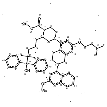 CCCCOc1cc(N2CCc3c(nc(OCCN(C)C)nc3N3CCN(C(=O)OC(C)(C)C)C(CCCC(C)(C)[Si](O)(c4ccccc4)c4ccccc4)C3)C2)c2ccccc2c1